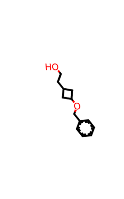 OCCC1CC(OCc2ccccc2)C1